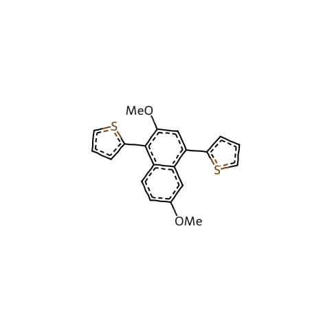 COc1ccc2c(-c3cccs3)c(OC)cc(-c3cccs3)c2c1